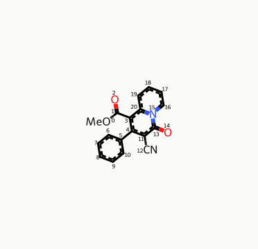 COC(=O)c1c(-c2ccccc2)c(C#N)c(=O)n2ccccc12